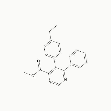 CCc1ccc(-c2c(C(=O)OC)ncnc2-c2ccccc2)cc1